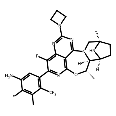 Cc1c(F)c(N)cc(-c2nc3c4c(nc(N5CCC5)nc4c2F)N2C[C@H]4CC[C@H](N4)[C@H]2[C@H](C)O3)c1C(F)(F)F